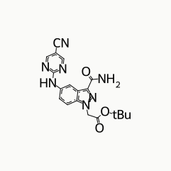 CC(C)(C)OC(=O)Cn1nc(C(N)=O)c2cc(Nc3ncc(C#N)cn3)ccc21